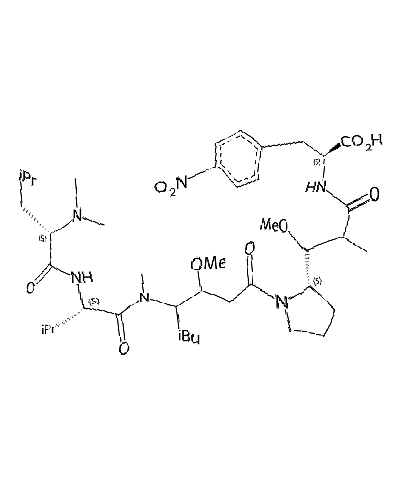 CCC(C)C(C(CC(=O)N1CCC[C@H]1C(OC)C(C)C(=O)N[C@@H](Cc1ccc([N+](=O)[O-])cc1)C(=O)O)OC)N(C)C(=O)[C@@H](NC(=O)[C@H](CC(C)C)N(C)C)C(C)C